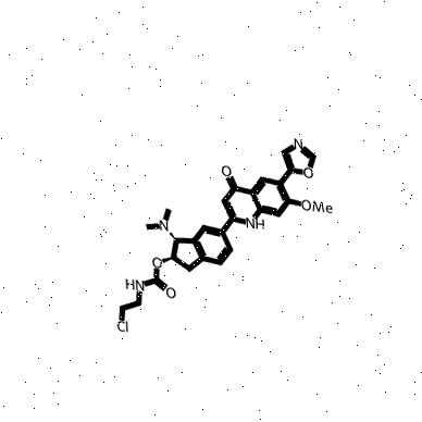 COc1cc2[nH]c(-c3ccc4c(c3)[C@@H](N(C)C)[C@H](OC(=O)NCCCl)C4)cc(=O)c2cc1-c1cnco1